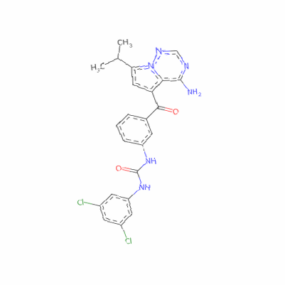 CC(C)c1cc(C(=O)c2cccc(NC(=O)Nc3cc(Cl)cc(Cl)c3)c2)c2c(N)ncnn12